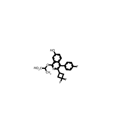 CC(Oc1nc(C2CC(F)(F)C2)c(-c2ccc(F)cc2)c2ccc(O)cc12)C(=O)O